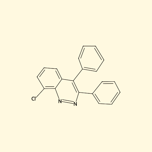 Clc1cccc2c(-c3ccccc3)c(-c3ccccc3)nnc12